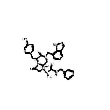 CCCN(C(=O)NCc1ccccc1)N1CC(=O)N2[C@@H](Cc3ccc(O)cc3)C(=O)N(Cc3cccc4cn[nH]c34)C[C@@H]21